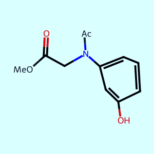 COC(=O)CN(C(C)=O)c1cccc(O)c1